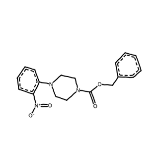 O=C(OCc1ccccc1)N1CCN(c2ccccc2[N+](=O)[O-])CC1